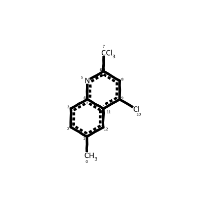 Cc1ccc2nc(C(Cl)(Cl)Cl)cc(Cl)c2c1